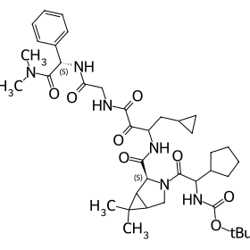 CN(C)C(=O)[C@@H](NC(=O)CNC(=O)C(=O)C(CC1CC1)NC(=O)[C@@H]1C2C(CN1C(=O)C(NC(=O)OC(C)(C)C)C1CCCC1)C2(C)C)c1ccccc1